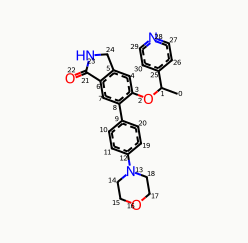 CC(Oc1cc2c(cc1-c1ccc(N3CCOCC3)cc1)C(=O)NC2)c1ccncc1